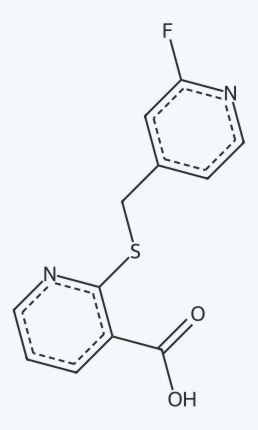 O=C(O)c1cccnc1SCc1ccnc(F)c1